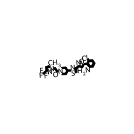 Cc1cc(C(F)(F)F)nn1CC(=O)N1CCC(c2nc(C3=NOC(c4c(N)cccc4Cl)C3)cs2)CC1